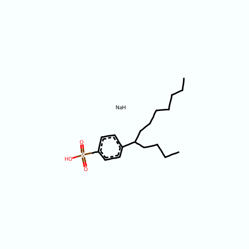 CCCCCCCC(CCCC)c1ccc(S(=O)(=O)O)cc1.[NaH]